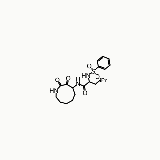 CC(C)CC(NS(=O)(=O)c1ccccc1)C(=O)NC1CCCCCNC(=O)C1=O